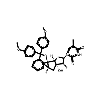 COc1ccc(C(O[C@]23C[C@H]2C[C@]2(O)[C@H](F)[C@H](n4cc(C)c(=O)[nH]c4=O)O[C@@H]23)(c2ccccc2)c2ccc(OC)cc2)cc1